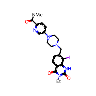 CCn1c(=O)[nH]c2c(I)c(CN3CCN(c4ccc(C(=O)NC)nc4)CC3)ccc2c1=O